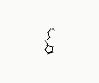 CCCOC1CC=CC1